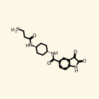 NCCC(=O)N[C@H]1CC[C@H](NC(=O)c2ccc3c(c2)C(=O)C(=O)N3)CC1